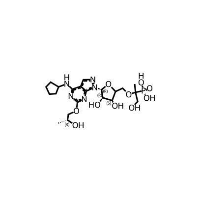 C[C@@H](O)COc1nc(NC2CCCC2)c2cnn([C@@H]3OC(COC(C)(CO)P(=O)(O)O)[C@@H](O)[C@H]3O)c2n1